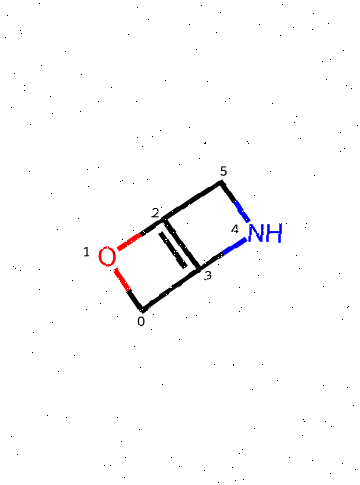 C1OC2=C1NC2